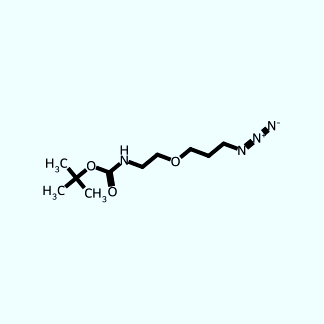 CC(C)(C)OC(=O)NCCOCCCN=[N+]=[N-]